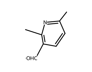 Cc1ccc([C]=O)c(C)n1